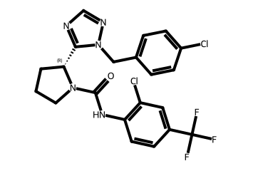 O=C(Nc1ccc(C(F)(F)F)cc1Cl)N1CCC[C@@H]1c1ncnn1Cc1ccc(Cl)cc1